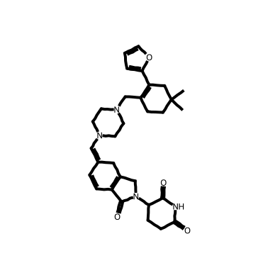 CC1(C)CCC(CN2CCN(C=C3C=CC4=C(C3)CN(C3CCC(=O)NC3=O)C4=O)CC2)=C(c2ccco2)C1